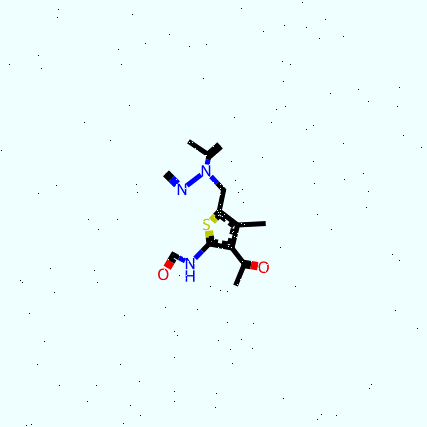 C=NN(Cc1sc(NC=O)c(C(C)=O)c1C)C(=C)C